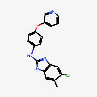 Cc1cc2[nH]c(Nc3ccc(Oc4cccnc4)cc3)nc2cc1Cl